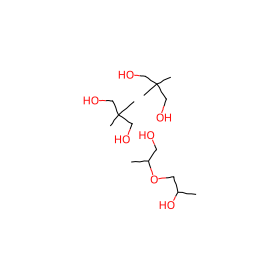 CC(C)(CO)CO.CC(C)(CO)CO.CC(O)COC(C)CO